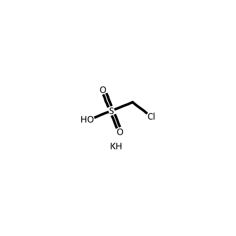 O=S(=O)(O)CCl.[KH]